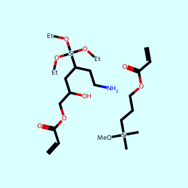 C=CC(=O)OCC(O)CC(CCN)[Si](OCC)(OCC)OCC.C=CC(=O)OCCC[Si](C)(C)OC